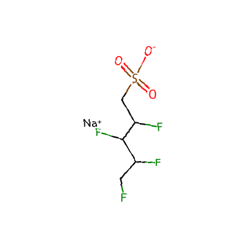 O=S(=O)([O-])CC(F)C(F)C(F)CF.[Na+]